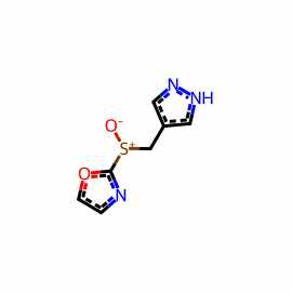 [O-][S+](Cc1cn[nH]c1)c1ncco1